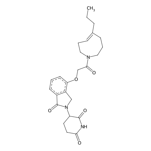 CCC/C1=C\CCN(C(=O)COc2cccc3c2CN(C2CCC(=O)NC2=O)C3=O)CCC1